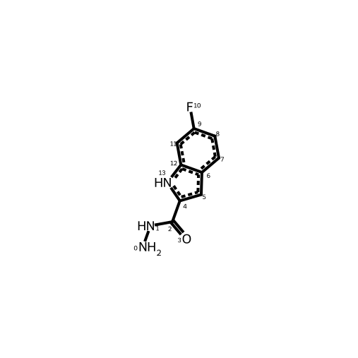 NNC(=O)c1cc2ccc(F)cc2[nH]1